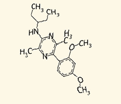 CCC(CC)Nc1nc(C)c(-c2ccc(OC)cc2OC)nc1C